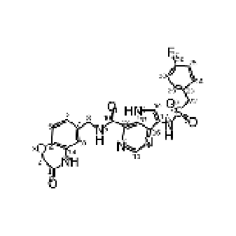 O=C1COc2ccc(CNC(=O)c3ncnc4c(NS(=O)(=O)Cc5ccc(F)cc5)c[nH]c34)cc2N1